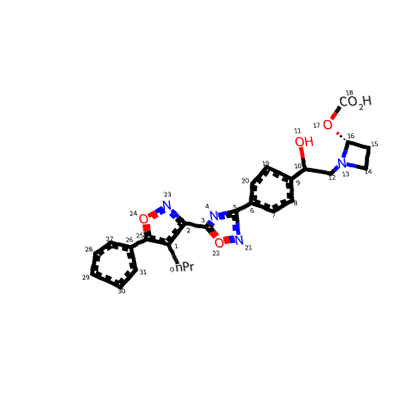 CCCc1c(-c2nc(-c3ccc(C(O)CN4CC[C@H]4OC(=O)O)cc3)no2)noc1-c1ccccc1